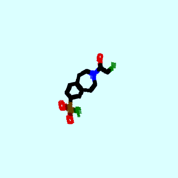 O=C(CF)N1CCc2ccc(S(=O)(=O)F)cc2CC1